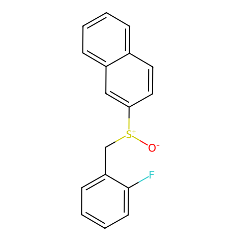 [O-][S+](Cc1ccccc1F)c1ccc2ccccc2c1